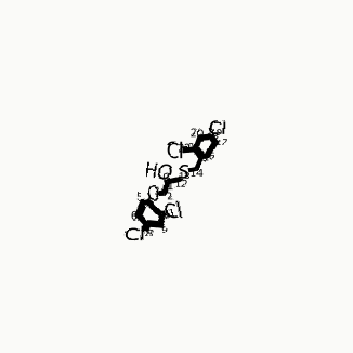 OC(COc1ccc(Cl)cc1Cl)CSCc1ccc(Cl)cc1Cl